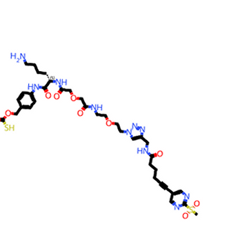 CS(=O)(=O)c1ncc(C#CCCCC(=O)NCc2cn(CCOCCNC(=O)COCC(=O)N[C@@H](CCCCN)C(=O)Nc3ccc(COC(=O)S)cc3)nn2)cn1